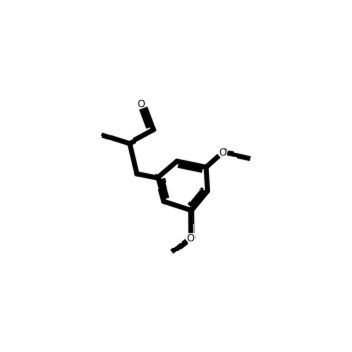 COc1cc(CC(C)C=O)cc(OC)c1